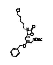 CCCCCCCCCCC[C@H](C[C@@H]1OC(=O)[C@H]1CCCCCCl)OCc1ccccc1